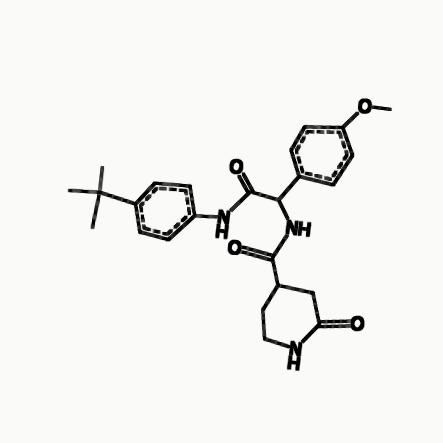 COc1ccc(C(NC(=O)C2CCNC(=O)C2)C(=O)Nc2ccc(C(C)(C)C)cc2)cc1